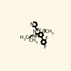 COc1cc(-c2ccc(F)cc2F)cc2c(NCC(C)C)nc(-c3cccnc3)nc12